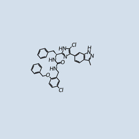 Cc1n[nH]c2cc(-c3nc([C@H](Cc4ccccc4)NC(=O)NCc4cc(Cl)ccc4OCc4ccccc4)[nH]c3Cl)ccc12